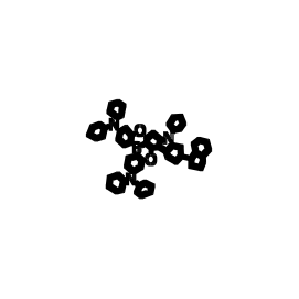 c1ccc(N(c2ccccc2)c2ccc3c(c2)Oc2cc4c(c5c2B3c2ccc(N(c3ccccc3)c3ccccc3)cc2O5)c2ccc(-c3cccc5ccccc35)cc2n4-c2ccccc2)cc1